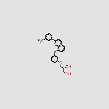 OCC(O)COc1cccc(Cc2cccc3ccc(-c4cccc(C(F)(F)F)c4)nc23)c1